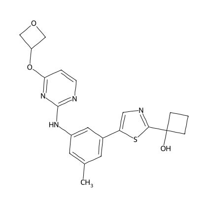 Cc1cc(Nc2nccc(OC3COC3)n2)cc(-c2cnc(C3(O)CCC3)s2)c1